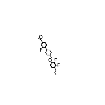 CCCc1ccc(OCC2CCC(c3ccc(C4CO4)cc3F)CC2)c(F)c1F